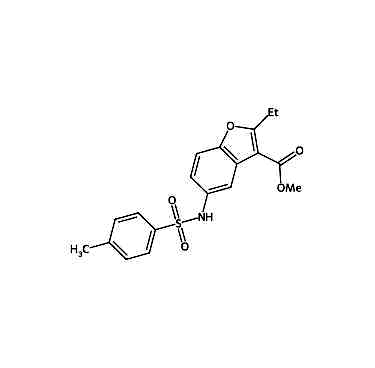 CCc1oc2ccc(NS(=O)(=O)c3ccc(C)cc3)cc2c1C(=O)OC